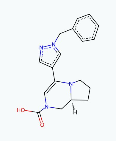 O=C(O)N1C=C(c2cnn(Cc3ccccc3)c2)N2CCC[C@H]2C1